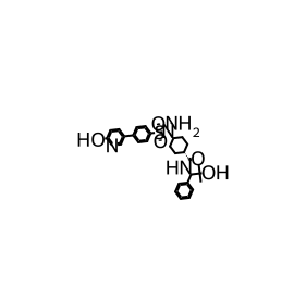 CC(C)(O)[C@@H](NC(=O)[C@H]1CC[C@H](N(N)S(=O)(=O)c2ccc(-c3ccc(O)nc3)cc2)CC1)c1ccccc1